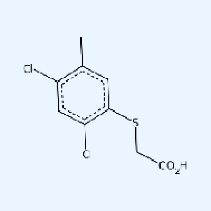 Cc1cc(SCC(=O)O)c(Cl)cc1Cl